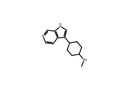 CNC1CCC(c2c[nH]c3cnccc23)CC1